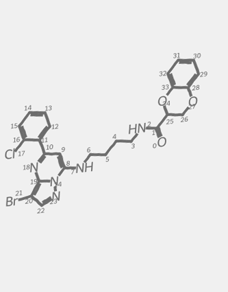 O=C(NCCCCNc1cc(-c2ccccc2Cl)nc2c(Br)cnn12)C1COc2ccccc2O1